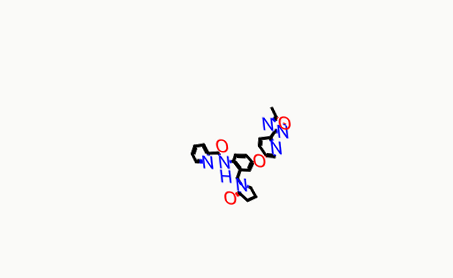 Cc1nc(-c2ccc(Oc3ccc(NC(=O)c4ccccn4)c(CN4CCCC4=O)c3)cn2)no1